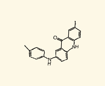 Cc1ccc(Nc2ccc3[nH]c4ccc(C)cc4c(=O)c3c2)cc1